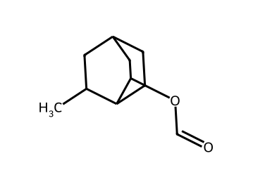 CC1CC2CCC1C(OC=O)C2